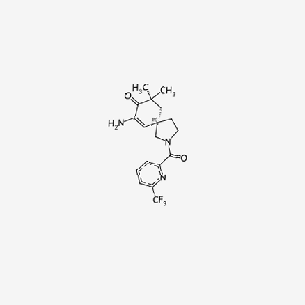 CC1(C)C[C@]2(C=C(N)C1=O)CCN(C(=O)c1cccc(C(F)(F)F)n1)C2